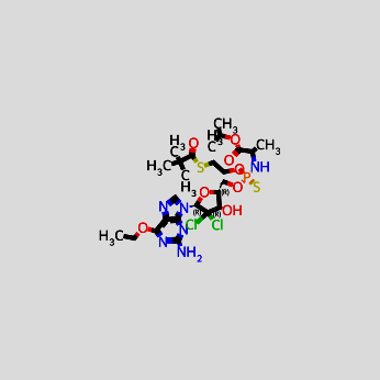 CCOc1nc(N)nc2c1ncn2[C@@H]1O[C@H](COP(=S)(NC(C)C(=O)OC(C)C)OCCSC(=O)C(C)(C)C)[C@@H](O)C1(Cl)Cl